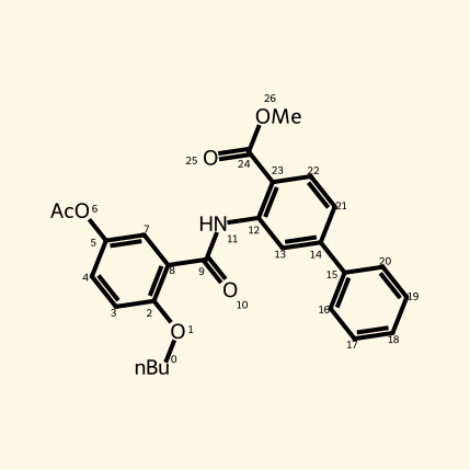 CCCCOc1ccc(OC(C)=O)cc1C(=O)Nc1cc(-c2ccccc2)ccc1C(=O)OC